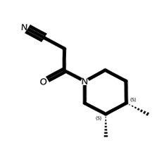 C[C@@H]1CN(C(=O)CC#N)CC[C@@H]1C